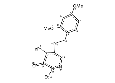 CCCc1c(NCc2ccc(OC)cc2OC)cnn(CC)c1=O